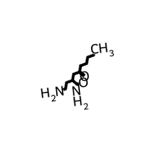 CCCCCC(=O)CC(CCN)C(N)=O